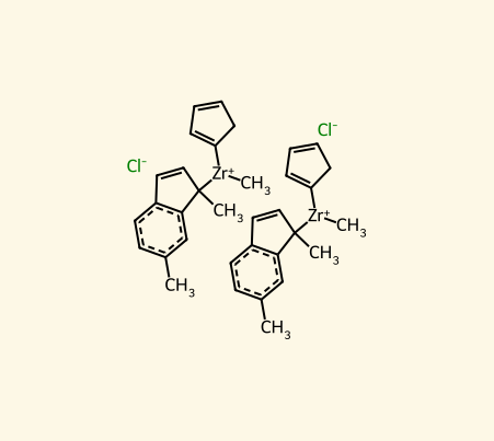 Cc1ccc2c(c1)[C](C)([Zr+]([CH3])[C]1=CC=CC1)C=C2.Cc1ccc2c(c1)[C](C)([Zr+]([CH3])[C]1=CC=CC1)C=C2.[Cl-].[Cl-]